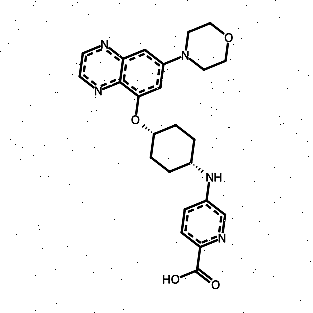 O=C(O)c1ccc(N[C@H]2CC[C@@H](Oc3cc(N4CCOCC4)cc4nccnc34)CC2)cn1